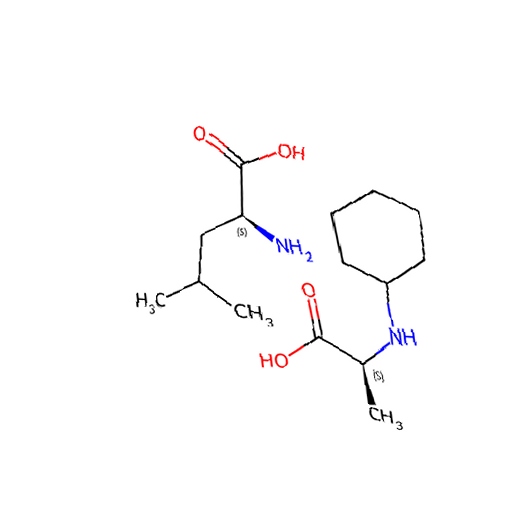 CC(C)C[C@H](N)C(=O)O.C[C@H](NC1CCCCC1)C(=O)O